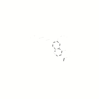 C=C(O)c1cnc2cc(OCCCOC)c(OC)cc2c1C